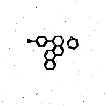 Brc1ccc(C2CCCc3ccc4c(ccc5ccccc54)c32)cc1.C1=CCOC=C1